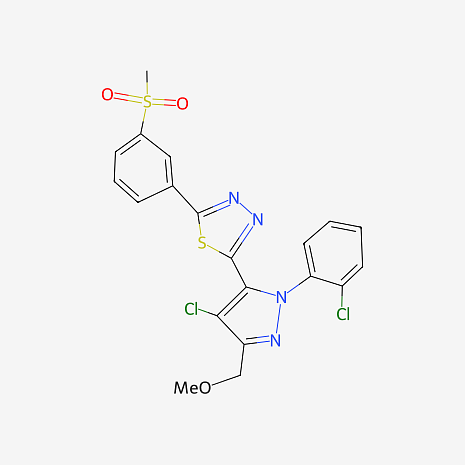 COCc1nn(-c2ccccc2Cl)c(-c2nnc(-c3cccc(S(C)(=O)=O)c3)s2)c1Cl